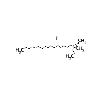 C=CC[N+](C)(CC=C)CCCCCCCCCCCCCCCC.[I-]